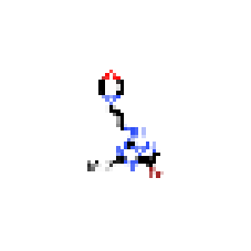 CSc1nc(NCCCN2CCOCC2)n2ncc(Br)c2n1